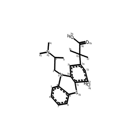 CC(CN1c2ccccc2Sc2ccc(C(C)(C)C(=O)O)cc21)N(C)C.Cl